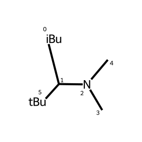 CCC(C)C(N(C)C)C(C)(C)C